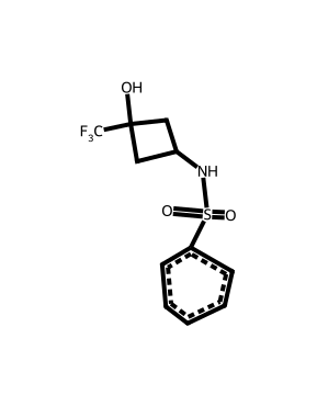 O=S(=O)(NC1CC(O)(C(F)(F)F)C1)c1ccccc1